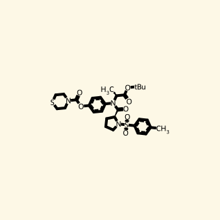 Cc1ccc(S(=O)(=O)N2CCC[C@H]2C(=O)N(c2ccc(OC(=O)N3CCSCC3)cc2)[C@@H](C)C(=O)OC(C)(C)C)cc1